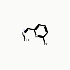 O/N=C\c1cccc(Br)n1